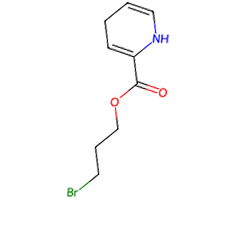 O=C(OCCCBr)C1=CCC=CN1